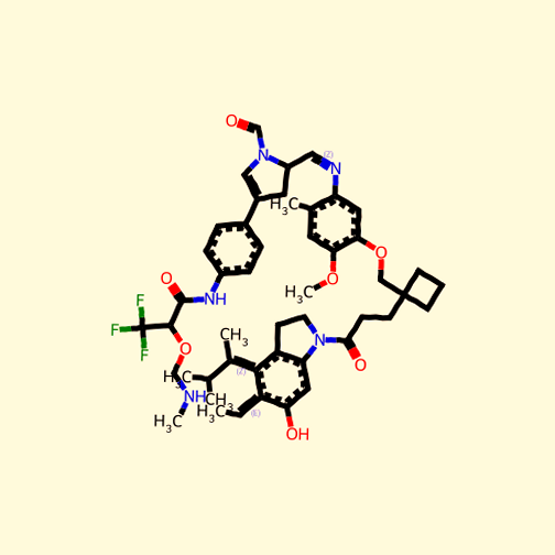 C/C=c1/c(O)cc2c(/c1=C(\C)C(C)C)CCN2C(=O)CCC1(COc2cc(/N=C\C3CC(c4ccc(NC(=O)C(OCNC)C(F)(F)F)cc4)=CN3C=O)c(C)cc2OC)CCC1